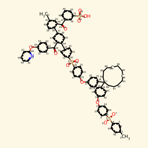 Cc1ccc(S(=O)(=O)c2ccc(Oc3ccc(C4(c5ccc(Oc6ccc(S(=O)(=O)c7ccc(-c8ccc(-c9ccc(C)cc9C(=O)c9cccc(S(=O)(=O)O)c9)cc8C(=O)c8ccc(Oc9ccccn9)cc8)cc7)cc6)cc5)CCCCCCCCCCC4)cc3)cc2)cc1